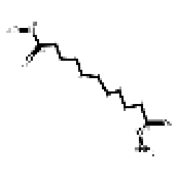 NOC(=O)CCCCCCCCCC(=O)N=O